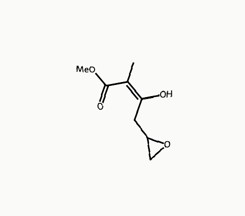 COC(=O)C(C)=C(O)CC1CO1